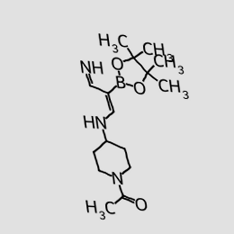 CC(=O)N1CCC(N/C=C(\C=N)B2OC(C)(C)C(C)(C)O2)CC1